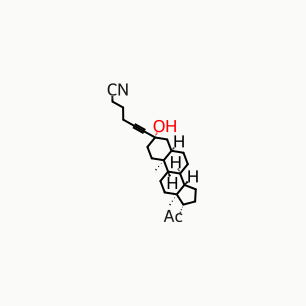 CC(=O)[C@H]1CC[C@H]2[C@@H]3CC[C@@H]4C[C@](O)(C#CCCCC#N)CC[C@]4(C)[C@H]3CC[C@]12C